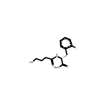 COC(=O)[C@@H](Cc1ccccc1F)NC(=O)CCCO